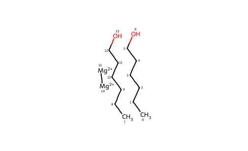 CCCCCCO.CCCCCCO.[Mg+2][Mg+2]